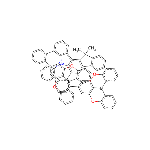 CC1(C)c2ccccc2-c2cc(-c3ccccc3-c3cc4c5c(c3)Oc3ccccc3B5c3ccccc3O4)c3c(c21)c1cccc(-c2ccccc2-c2cc4c5c(c2)Oc2ccccc2B5c2ccccc2O4)c1n3-c1ccccc1